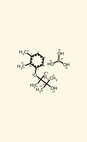 Cc1cccc(OC(C)(C)C(C)(C)O)c1C.OB(O)O